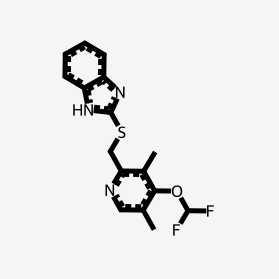 Cc1cnc(CSc2nc3ccccc3[nH]2)c(C)c1OC(F)F